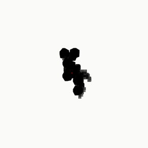 Cc1cc(Oc2cccc(F)c2F)ccc1-n1ncc(C(=O)c2cc3c(-c4cc5ccccc5n4-c4ccccn4)cccc3n2S(=O)(=O)c2ccccc2)c1N